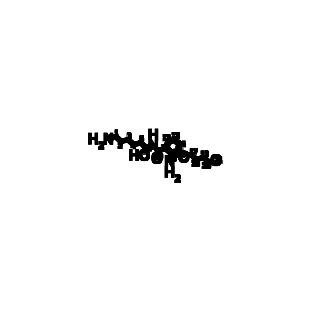 NCCCCCC(O)NC(=O)c1cccc(OCCCC=O)c1N